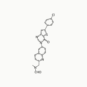 CN(C=O)Cc1ccc2cc(-n3cnc4cc(-c5ccc(Cl)cc5)sc4c3=O)ccc2n1